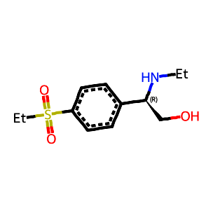 CCN[C@@H](CO)c1ccc(S(=O)(=O)CC)cc1